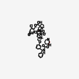 COc1ccc([C@H](Cc2c(Cl)c[n+]([O-])cc2Cl)[C@]2(C(=O)O)CCCN2S(=O)(=O)c2ccc(COc3cccc([C@@H](NC(=O)O[C@H]4CN5CCC4CC5)c4ccccc4)c3)cc2)cc1OC